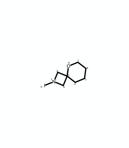 IN1CC2(CCCCO2)C1